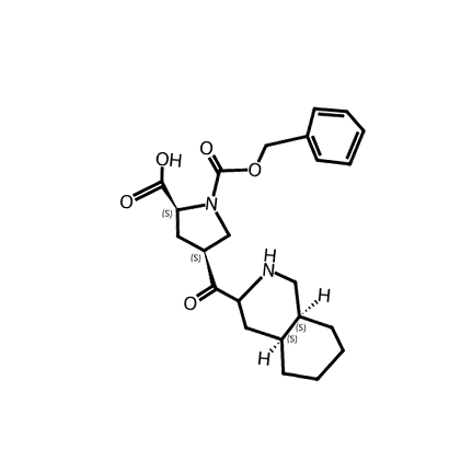 O=C(C1C[C@@H]2CCCC[C@@H]2CN1)[C@H]1C[C@@H](C(=O)O)N(C(=O)OCc2ccccc2)C1